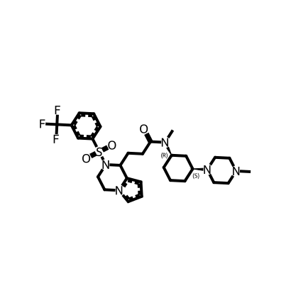 CN1CCN([C@H]2CCC[C@@H](N(C)C(=O)CCC3c4cccn4CCN3S(=O)(=O)c3cccc(C(F)(F)F)c3)C2)CC1